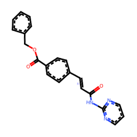 O=C(/C=C/c1ccc(C(=O)OCc2ccccc2)cc1)Nc1ncccn1